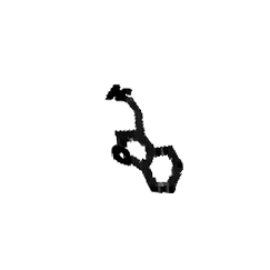 CC(=O)Cc1coc2ccccc12